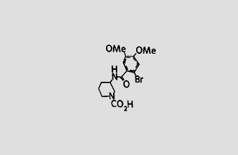 COc1cc(Br)c(C(=O)N[C@@H]2CCCN(C(=O)O)C2)cc1OC